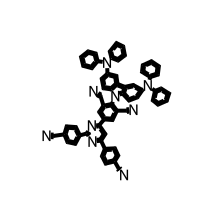 N#Cc1ccc(-c2cc(-c3cc(C#N)c(-n4c5ccc(N(c6ccccc6)c6ccccc6)cc5c5cc(N(c6ccccc6)c6ccccc6)ccc54)c(C#N)c3)nc(-c3ccc(C#N)cc3)n2)cc1